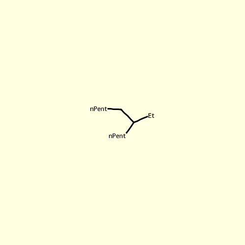 CCCCCCC(CC)CCCCC